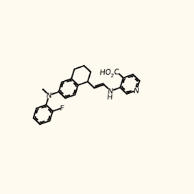 CN(c1ccc2c(c1)CCCC2/C=C/Nc1cnccc1C(=O)O)c1ccccc1F